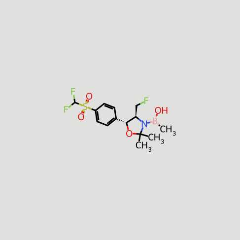 CB(O)N1[C@H](CF)[C@@H](c2ccc(S(=O)(=O)C(F)F)cc2)OC1(C)C